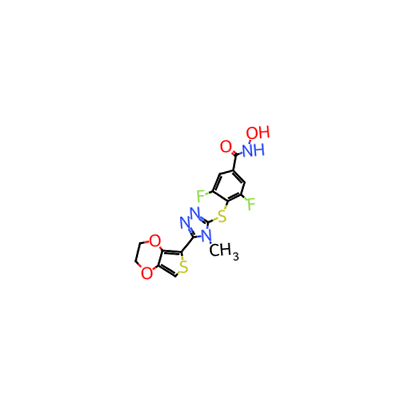 Cn1c(Sc2c(F)cc(C(=O)NO)cc2F)nnc1-c1scc2c1OCCO2